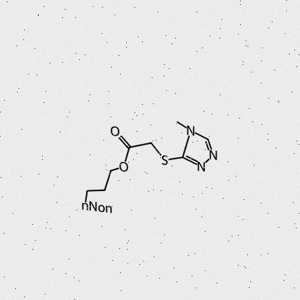 CCCCCCCCCCCCOC(=O)CSc1nncn1C